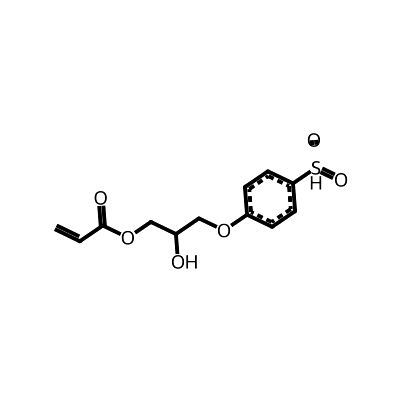 C=CC(=O)OCC(O)COc1ccc([SH](=O)=O)cc1